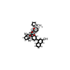 CN1CCC[C@H]1COc1nc(N2[C@@H]3CC[C@H]2CN(C(=O)CC2CCCNC2)C3)c2ccc(-c3cc(O)cc4ccccc34)cc2n1